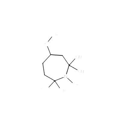 COC1CCC(C)(C)N(C)C(C)(C)C1